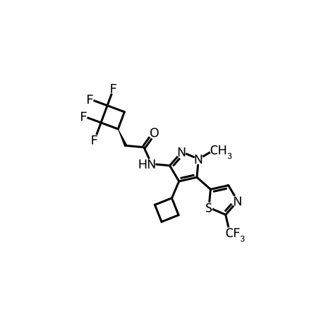 Cn1nc(NC(=O)C[C@@H]2CC(F)(F)C2(F)F)c(C2CCC2)c1-c1cnc(C(F)(F)F)s1